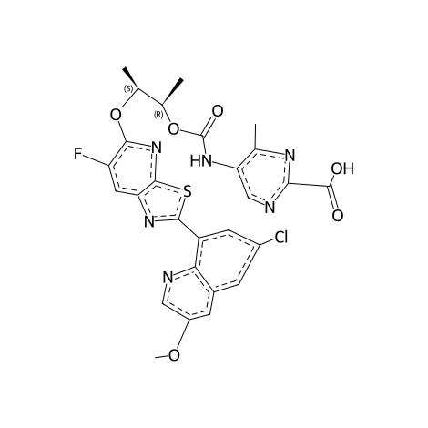 COc1cnc2c(-c3nc4cc(F)c(O[C@@H](C)[C@@H](C)OC(=O)Nc5cnc(C(=O)O)nc5C)nc4s3)cc(Cl)cc2c1